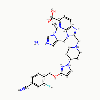 CCn1cncc1Cn1c(CN2CCC(n3ccc(OCc4ccc(C#N)cc4F)n3)CC2)nc2ccc(C(=O)O)nc21.N